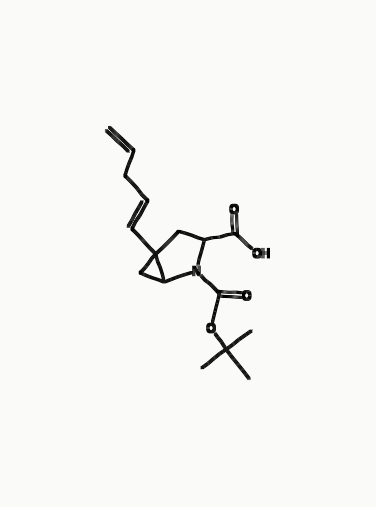 C=CCC=CC12CC(C(=O)O)N(C(=O)OC(C)(C)C)C1C2